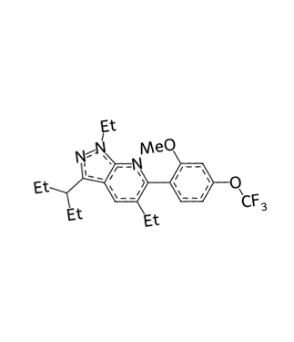 CCc1cc2c(C(CC)CC)nn(CC)c2nc1-c1ccc(OC(F)(F)F)cc1OC